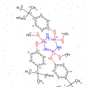 CCCCCC(C)(C)c1ccc(OP2(OCCC)=N[PH](OCCC)(Oc3ccc(C(C)(C)CCCCC)cc3)N[PH](OCCC)(Oc3ccc(C(C)(C)CCCCC)cc3)N2)cc1